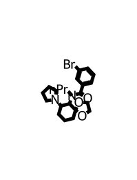 CCCN(C(=O)c1cccc(Br)c1)C1C(N2CCCC2)CCCC12OCCO2